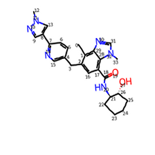 Cc1c(Cc2ccc(-c3cnn(C)c3)nc2)cc(C(=O)N[C@@H]2CCCC[C@H]2O)c2c1ncn2C